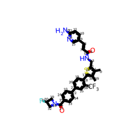 Cc1c(CNC(=O)/C=C/c2ccc(N)nc2)sc(-c2ccc(-c3ccc(C(=O)N4CC(F)C4)cc3)cc2C(F)(F)F)c1C